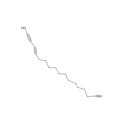 CCCCCCCCCCCCCCCCCCCCCC#CC#CO